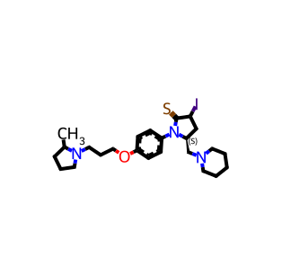 CC1CCCN1CCCOc1ccc(N2C(=S)C(I)C[C@H]2CN2CCCCC2)cc1